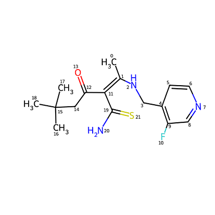 CC(NCc1ccncc1F)=C(C(=O)CC(C)(C)C)C(N)=S